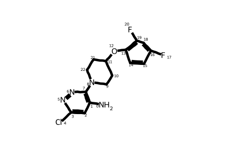 Nc1cc(Cl)nnc1N1CCC(Oc2ccc(F)cc2F)CC1